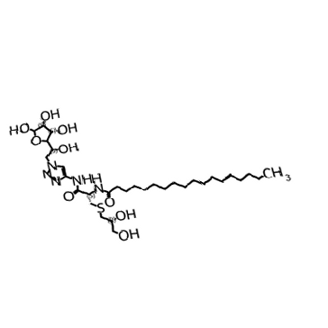 CCCCCCCCCCCCCCCCCC(=O)N[C@H](CSC[C@H](O)CO)C(=O)Nc1cn(C[C@H](O)C2OC(O)[C@@H](O)[C@@H]2O)nn1